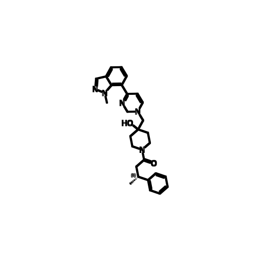 C[C@H](CC(=O)N1CCC(O)(CN2C=CC(c3cccc4cnn(C)c34)=NC2)CC1)c1ccccc1